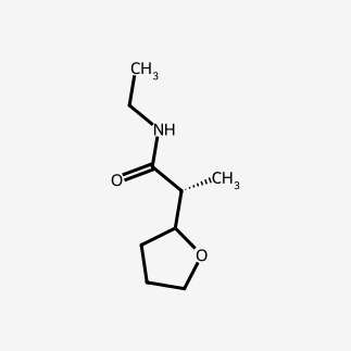 CCNC(=O)[C@H](C)C1CCCO1